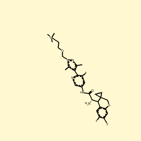 Cc1nn(COCC[Si](C)(C)C)c(C)c1-c1ncc(NC(=O)[C@@H](N)C2c3cc(F)c(F)cc3OCC23CC3)cc1F